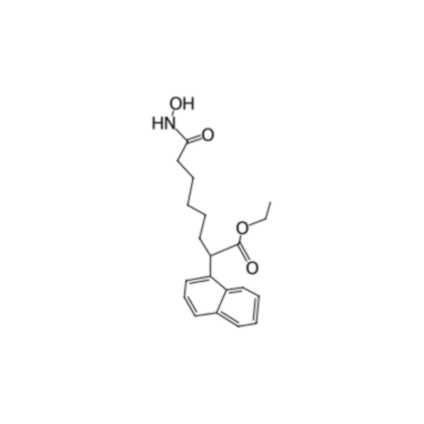 CCOC(=O)C(CCCCCC(=O)NO)c1cccc2ccccc12